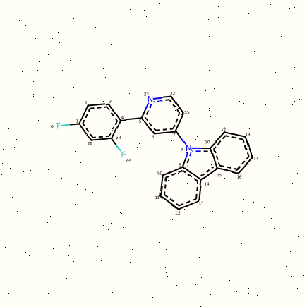 Fc1ccc(-c2cc(-n3c4ccccc4c4ccccc43)ccn2)c(F)c1